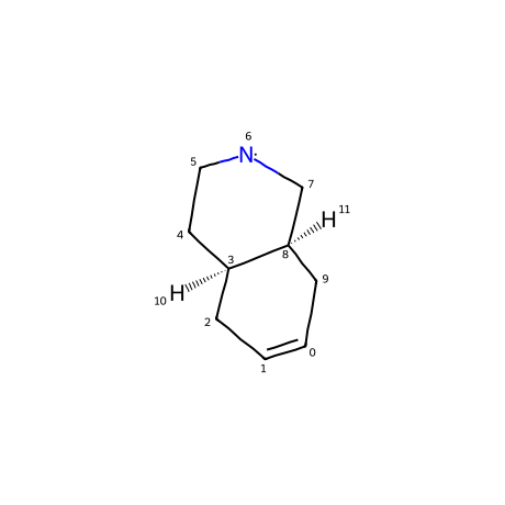 C1=CC[C@H]2CC[N]C[C@H]2C1